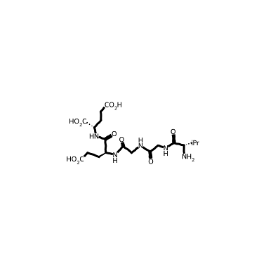 CC(C)[C@H](N)C(=O)NCC(=O)NCC(=O)N[C@@H](CCC(=O)O)C(=O)N[C@@H](CCC(=O)O)C(=O)O